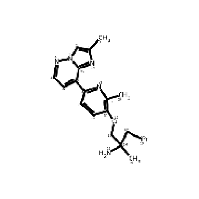 Cc1cn2nccc(-c3ccc(OCC(C)(N)CC(C)C)c(C)n3)c2n1